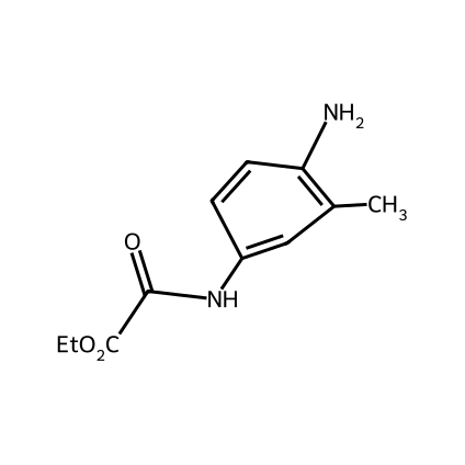 CCOC(=O)C(=O)Nc1ccc(N)c(C)c1